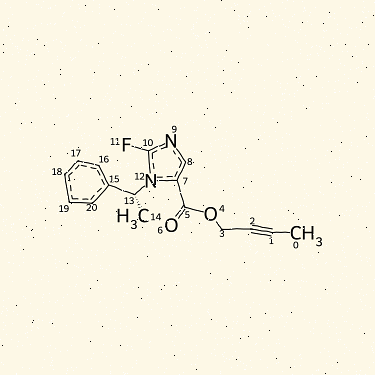 CC#CCOC(=O)c1cnc(F)n1[C@H](C)c1ccccc1